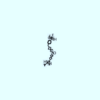 N=S(=O)(c1ccc(CC2CC3(C2)CN(C(=O)N2CC4(CC(c5nnc(C6CC6)[nH]5)C4)C2)C3)cc1)C(F)(F)F